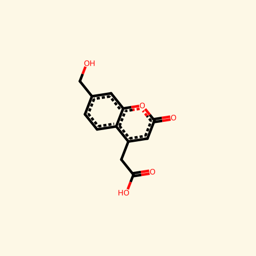 O=C(O)Cc1cc(=O)oc2cc(CO)ccc12